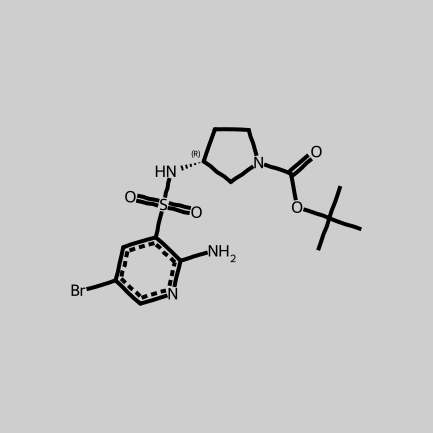 CC(C)(C)OC(=O)N1CC[C@@H](NS(=O)(=O)c2cc(Br)cnc2N)C1